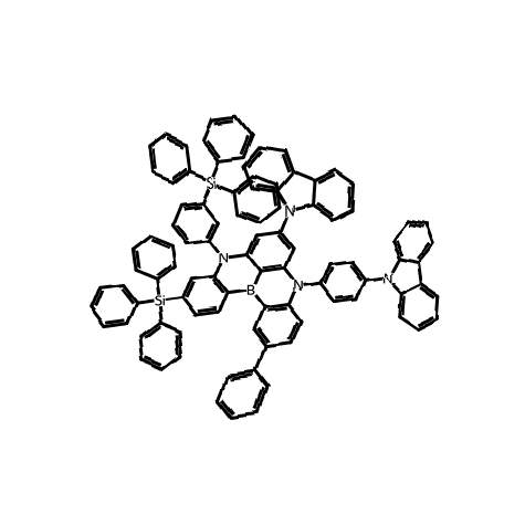 c1ccc(-c2ccc3c(c2)B2c4ccc([Si](c5ccccc5)(c5ccccc5)c5ccccc5)cc4N(c4cccc([Si](c5ccccc5)(c5ccccc5)c5ccccc5)c4)c4cc(-n5c6ccccc6c6ccccc65)cc(c42)N3c2ccc(-n3c4ccccc4c4ccccc43)cc2)cc1